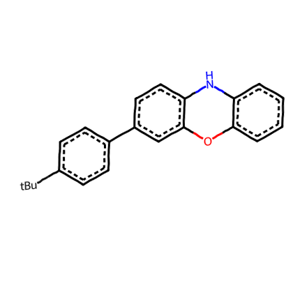 CC(C)(C)c1ccc(-c2ccc3c(c2)Oc2ccccc2N3)cc1